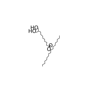 CCCCCCCCCC(CCCCCCCC)OC(=O)CCCCCCCCC(CO)CO